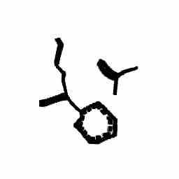 C=C(C)C.C=CCC(=C)c1ccccc1